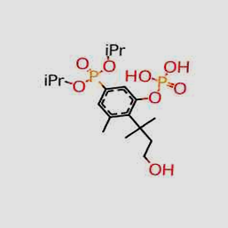 Cc1cc(P(=O)(OC(C)C)OC(C)C)cc(OP(=O)(O)O)c1C(C)(C)CCO